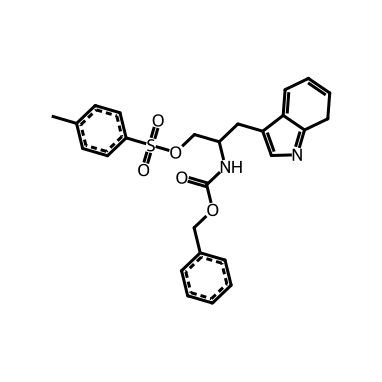 Cc1ccc(S(=O)(=O)OCC(CC2=CN=C3CC=CC=C23)NC(=O)OCc2ccccc2)cc1